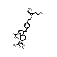 CCCC1/C(=C\N)N1CCc1ccc(/N=C(\C=C/NC(C)=O)N2CCN(C(=O)C(C)(C)N)CC2)cc1